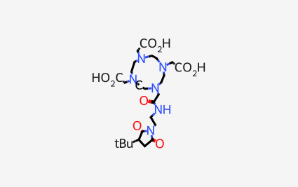 CC(C)(C)C1CC(=O)N(CCNC(=O)CN2CCN(CC(=O)O)CCN(CC(=O)O)CCN(CC(=O)O)CC2)C1=O